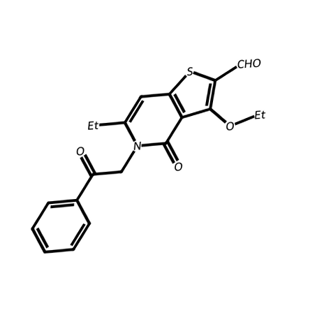 CCOc1c(C=O)sc2cc(CC)n(CC(=O)c3ccccc3)c(=O)c12